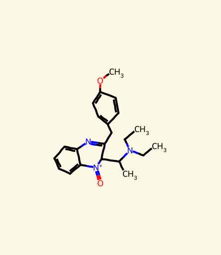 CCN(CC)C(C)C1C(Cc2ccc(OC)cc2)=Nc2ccccc2[N+]1=O